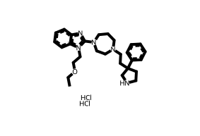 CCOCCn1c(N2CCCN(CCC3(c4ccccc4)CCNC3)CC2)nc2ccccc21.Cl.Cl